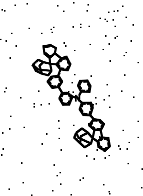 C1=CCC2C(=C1)C1(c3c(-c4cccc(-c5cccc(N(c6ccccc6)c6ccc(-c7ccc8c(c7)C7(c9ccccc9-8)C8CC9CC(C8)CC7C9)cc6)c5)c4)cccc32)C2CC3CC(C2)CC1C3